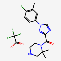 Cc1cc(-n2cnc(C(=O)N3CCNCC3(C)C)n2)ccc1F.O=C(O)C(F)(F)F